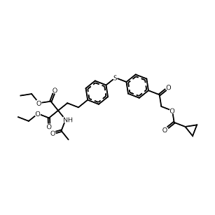 CCOC(=O)C(CCc1ccc(Sc2ccc(C(=O)COC(=O)C3CC3)cc2)cc1)(NC(C)=O)C(=O)OCC